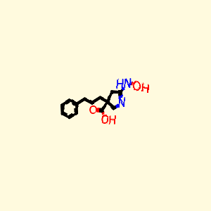 O=C(O)C1(CCCc2ccccc2)CN=C(NO)C1